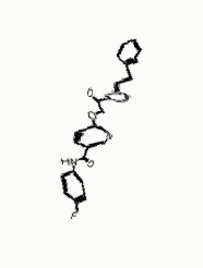 O=C(COc1ccc(C(=O)Nc2ccc(F)cc2)cn1)OCCc1ccccc1